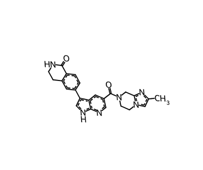 Cc1cn2c(n1)CN(C(=O)c1cnc3[nH]cc(-c4ccc5c(c4)CCNC5=O)c3c1)CC2